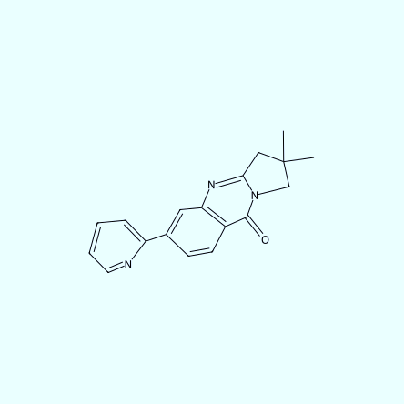 CC1(C)Cc2nc3cc(-c4ccccn4)ccc3c(=O)n2C1